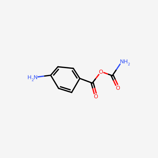 NC(=O)OC(=O)c1ccc(N)cc1